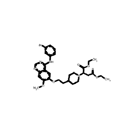 CCOC(=O)CC(C(=O)OCC)N1CCC(CCOc2cc3c(Nc4cccc(Br)c4)ncnc3cc2OC)CC1